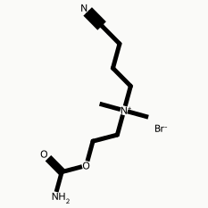 C[N+](C)(CCCC#N)CCOC(N)=O.[Br-]